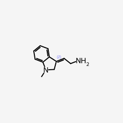 CN1C/C(=C\CN)c2ccccc21